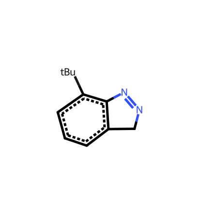 CC(C)(C)c1cccc2c1N=NC2